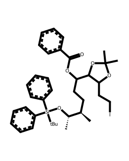 C[C@H](CCC(OC(=O)c1ccccc1)C1OC(C)(C)OC1CCI)[C@H](C)O[Si](c1ccccc1)(c1ccccc1)C(C)(C)C